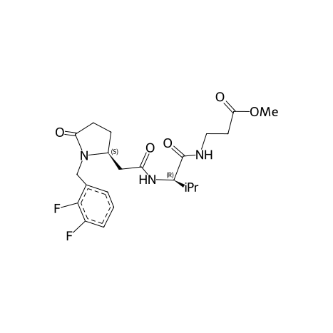 COC(=O)CCNC(=O)[C@H](NC(=O)C[C@@H]1CCC(=O)N1Cc1cccc(F)c1F)C(C)C